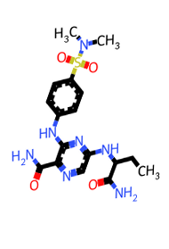 CCC(Nc1cnc(C(N)=O)c(Nc2ccc(S(=O)(=O)N(C)C)cc2)n1)C(N)=O